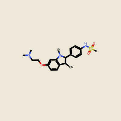 CCN1c2cc(OCCN(C)C)ccc2C(C#N)C1c1ccc(NS(C)(=O)=O)cc1